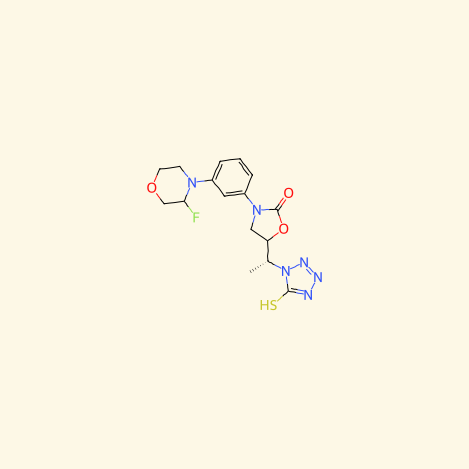 C[C@H](C1CN(c2cccc(N3CCOCC3F)c2)C(=O)O1)n1nnnc1S